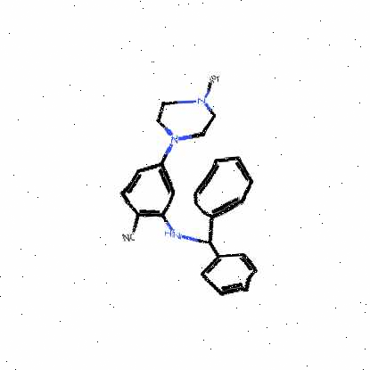 CC(C)N1CCN(c2ccc(C#N)c(NC(c3ccccc3)c3ccccc3)c2)CC1